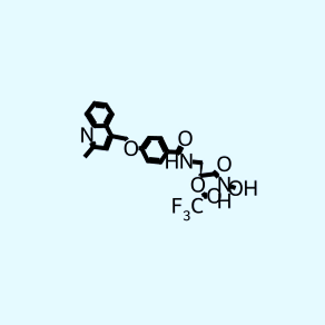 Cc1cc(COc2ccc(C(=O)NC[C@H](OC(=O)C(F)(F)F)C(=O)NO)cc2)c2ccccc2n1